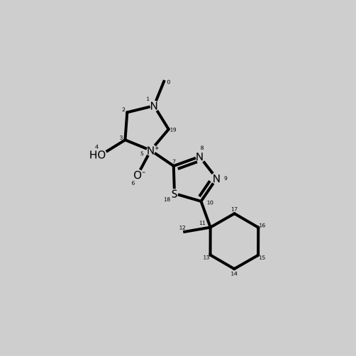 CN1CC(O)[N+]([O-])(c2nnc(C3(C)CCCCC3)s2)C1